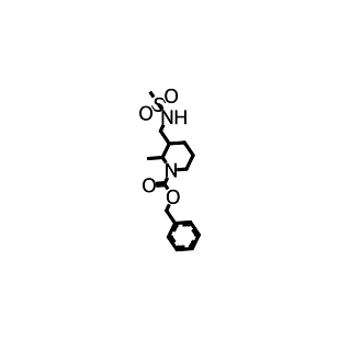 CC1C(CNS(C)(=O)=O)CCCN1C(=O)OCc1ccccc1